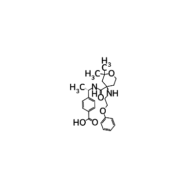 C[C@H](NC(=O)[C@@]1(NCCOc2ccccc2)CCOC(C)(C)C1)c1ccc(C(=O)O)cc1